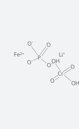 O=P([O-])([O-])[O-].[Fe+2].[Li+].[O]=[Cr](=[O])([OH])[OH]